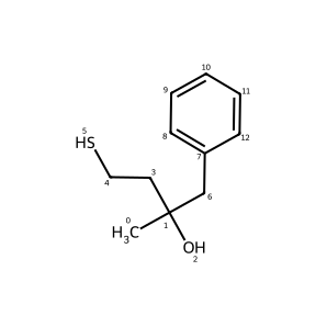 CC(O)(CCS)Cc1ccccc1